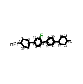 CCCC1CCC(c2ccc(-c3ccc(C4CCC(C)CC4)cc3)c(F)c2)CC1